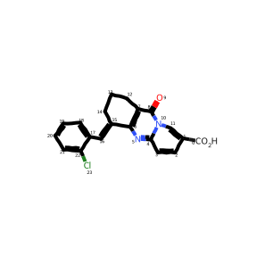 O=C(O)c1ccc2nc3c(c(=O)n2c1)CCCC3=Cc1ccccc1Cl